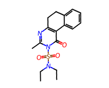 CCN(CC)S(=O)(=O)n1c(C)nc2c(c1=O)-c1ccccc1CC2